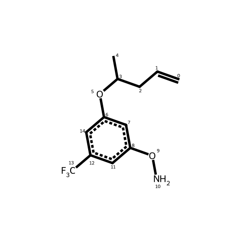 C=CCC(C)Oc1cc(ON)cc(C(F)(F)F)c1